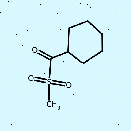 CS(=O)(=O)C(=O)C1CCCCC1